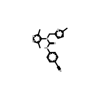 Cc1ccc(CN(C(=O)Nc2ccc(C#N)cc2)c2c(C)noc2C)o1